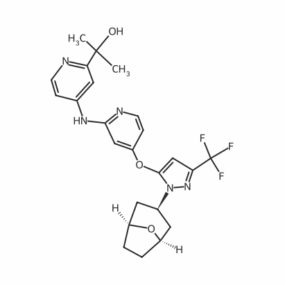 CC(C)(O)c1cc(Nc2cc(Oc3cc(C(F)(F)F)nn3[C@H]3C[C@H]4CC[C@@H](C3)O4)ccn2)ccn1